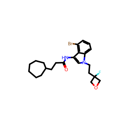 O=C(CCC1CCCCCC1)Nc1cn(CCC2(F)COC2)c2cccc(Br)c12